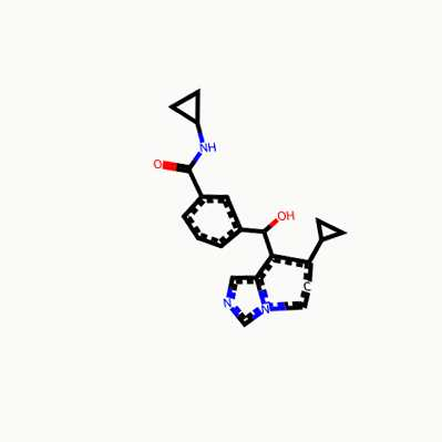 O=C(NC1CC1)c1cccc(C(O)c2c(C3CC3)ccn3cncc23)c1